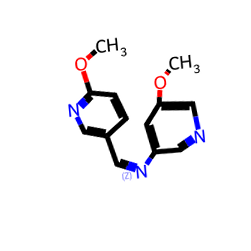 COc1cncc(/N=C\c2ccc(OC)nc2)c1